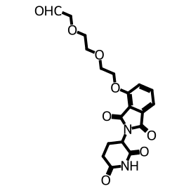 O=CCOCCOCCOc1cccc2c1C(=O)N(C1CCC(=O)NC1=O)C2=O